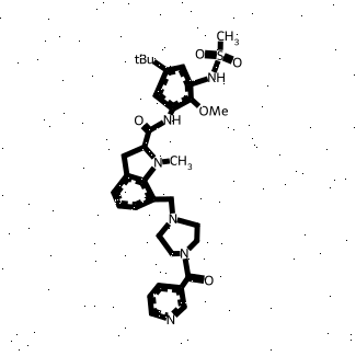 COc1c(NC(=O)C2Cc3cccc(CN4CCN(C(=O)c5cccnc5)CC4)c3N2C)cc(C(C)(C)C)cc1NS(C)(=O)=O